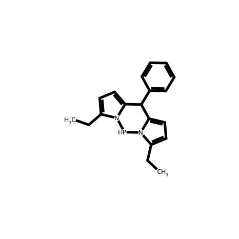 CCc1ccc2n1Pn1c(CC)ccc1C2c1ccccc1